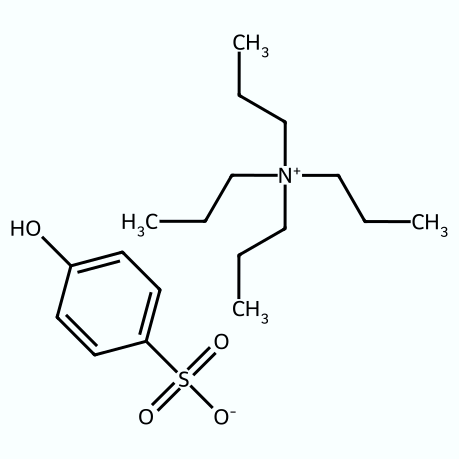 CCC[N+](CCC)(CCC)CCC.O=S(=O)([O-])c1ccc(O)cc1